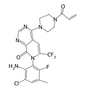 C=CC(=O)N1CCN(c2ncnc3c(=O)n(-c4c(N)c(Cl)cc(C)c4F)c(C(F)(F)F)cc23)CC1